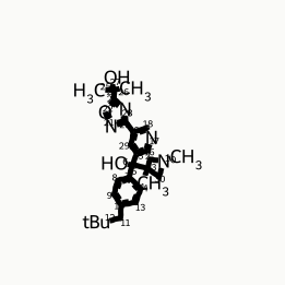 CN1CC(C)(C(O)(c2ccc(CC(C)(C)C)cc2)c2cncc(-c3noc(C(C)(C)O)n3)c2)C1